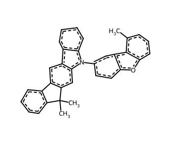 Cc1cccc2oc3ccc(-n4c5ccccc5c5cc6c(cc54)C(C)(C)c4ccccc4-6)cc3c12